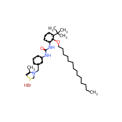 Br.CCCCCCCCCCCCCCOc1c(NC(=O)Nc2cccc(CN3CSC=C3C)c2)cccc1C(C)(C)C